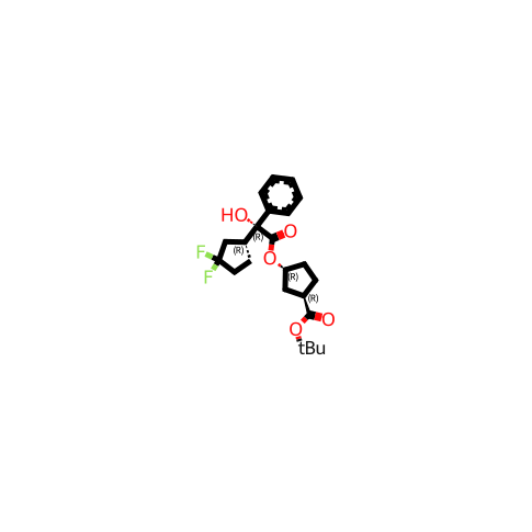 CC(C)(C)OC(=O)[C@@H]1CC[C@@H](OC(=O)[C@](O)(c2ccccc2)[C@@H]2CCC(F)(F)C2)C1